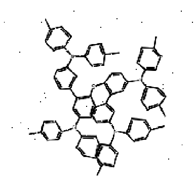 Cc1ccc(N(c2ccc(C)cc2)c2cccc(-c3cc(N(c4ccc(C)cc4)c4ccc(C)cc4)ccc3Sc3ccc(N(c4ccc(C)cc4)c4ccc(C)cc4)cc3-c3cccc(N(c4ccc(C)cc4)c4ccc(C)cc4)c3)c2)cc1